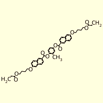 C=CC(=O)OCCCCOc1ccc2cc(C(=O)Oc3ccc(OC(=O)c4ccc5cc(OCCCCOC(=O)C=C)ccc5c4)c(C)c3)ccc2c1